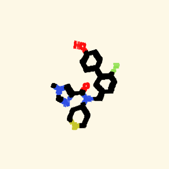 Cn1cnc(C(=O)N(Cc2ccc(F)c(-c3ccc(O)cc3)c2)C2CCSCC2)c1